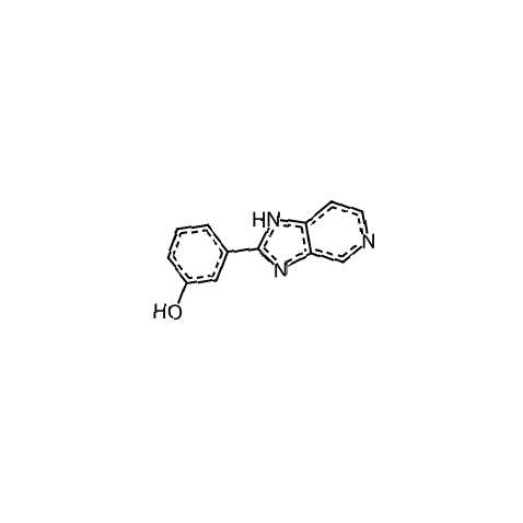 Oc1cccc(-c2nc3cnccc3[nH]2)c1